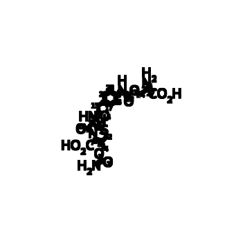 NC(=O)OCC1=C(C(=O)O)N2C(=O)[C@@H](NC(=O)Cc3ccc(NC(=O)OC[C@@H](N)C(=O)O)cc3)[C@@H]2SC1